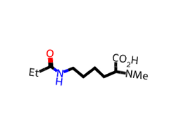 CCC(=O)NCCCCC(NC)C(=O)O